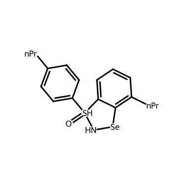 CCCc1ccc([SH]2(=O)N[Se]c3c(CCC)cccc32)cc1